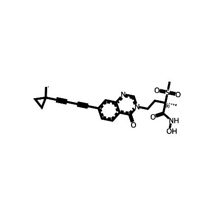 [CH2]C1(C#CC#Cc2ccc3c(=O)n(CC[C@](C)(C(=O)NO)S(C)(=O)=O)cnc3c2)CC1